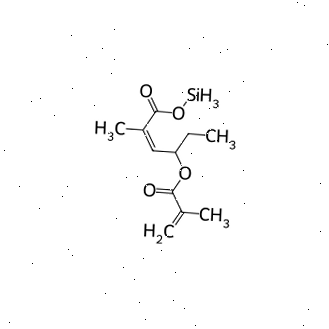 C=C(C)C(=O)OC(C=C(C)C(=O)O[SiH3])CC